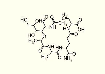 CCC(NC(=O)CCC(NC(=O)C(C)NC(=O)C(C)O[C@@H]([C@H](O)[C@H](O)CO)[C@H](C=O)NC(C)=O)C(N)=O)C(=O)O